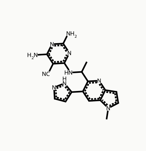 CC(Nc1nc(N)nc(N)c1C#N)c1nc2ccn(C)c2cc1-c1ccn[nH]1